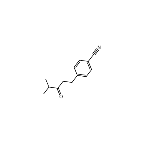 CC(C)C(=O)CCc1ccc(C#N)cc1